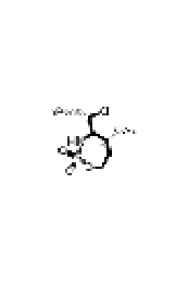 CCCCC[C@H](Cl)C1NS(=O)(=O)OCC[C@H]1OC(C)=O